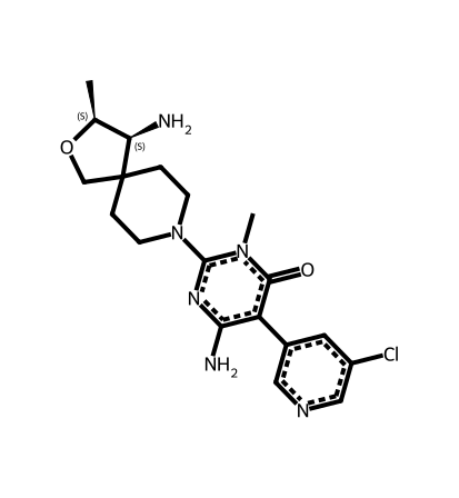 C[C@@H]1OCC2(CCN(c3nc(N)c(-c4cncc(Cl)c4)c(=O)n3C)CC2)[C@@H]1N